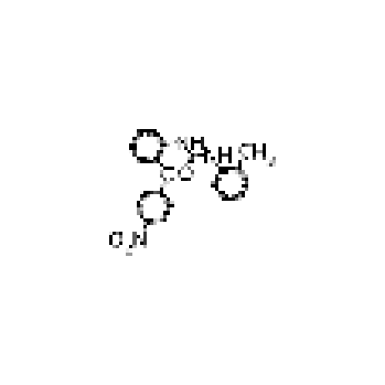 Cc1ccccc1NC(=O)Nc1ccccc1Oc1ccc([N+](=O)[O-])cc1